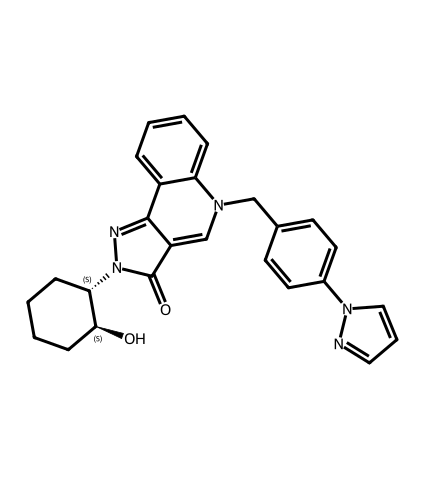 O=c1c2cn(Cc3ccc(-n4cccn4)cc3)c3ccccc3c-2nn1[C@H]1CCCC[C@@H]1O